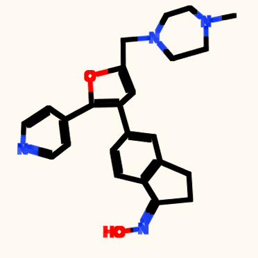 CN1CCN(Cc2cc(-c3ccc4c(c3)CC/C4=N/O)c(-c3ccncc3)o2)CC1